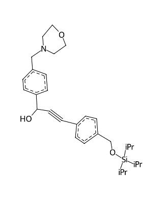 CC(C)[Si](OCc1ccc(C#CC(O)c2ccc(CN3CCOCC3)cc2)cc1)(C(C)C)C(C)C